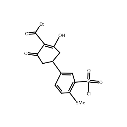 CCC(=O)C1=C(O)CC(c2ccc(SC)c(S(=O)(=O)Cl)c2)CC1=O